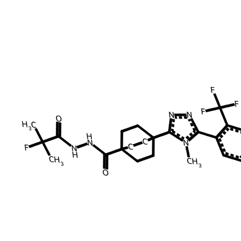 Cn1c(-c2ccccc2C(F)(F)F)nnc1C12CCC(C(=O)NNC(=O)C(C)(C)F)(CC1)CC2